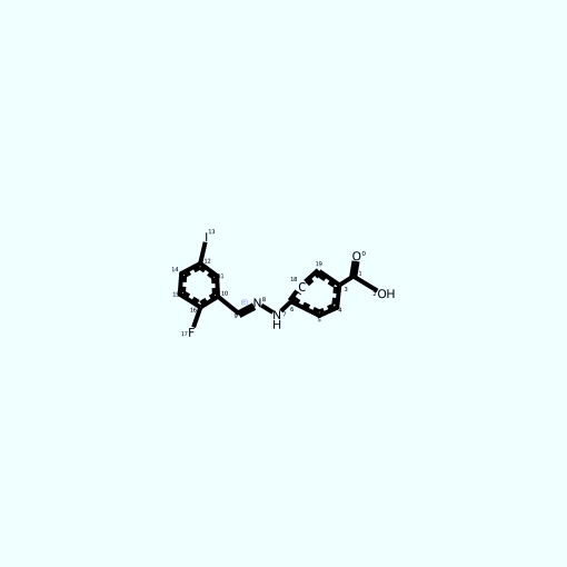 O=C(O)c1ccc(N/N=C/c2cc(I)ccc2F)cc1